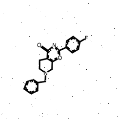 O=c1nc(-c2ccc(F)cc2)oc2c1CCN(Cc1ccccc1)C2